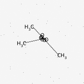 CCCCCCCCCCCCCCCCCCCCC(=O)OC[C@@H](COC(=O)CCCCCCCCCCCCC)OC(=O)CCCCCCCCCCCCCCCCC